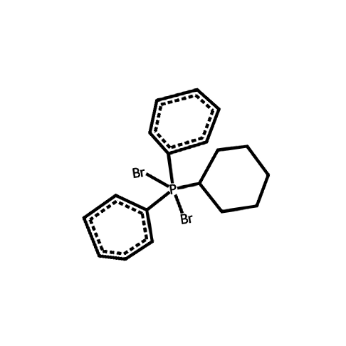 BrP(Br)(c1ccccc1)(c1ccccc1)C1CCCCC1